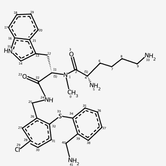 CN(C(=O)[C@@H](N)CCCCN)[C@@H](Cc1c[nH]c2ccccc12)C(=O)NCc1cc(Cl)ccc1Sc1ccccc1CN